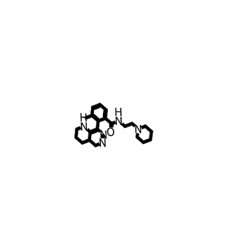 Cc1cccc(C(=O)NCCN2CCCCC2)c1C1=C2NCCCC2CN=N1